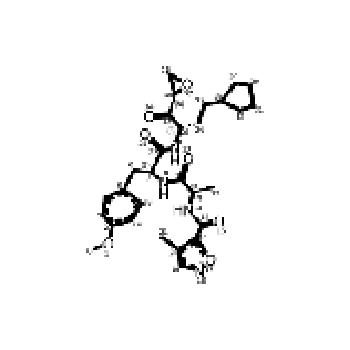 COc1ccc(C[C@H](NC(=O)[C@@H](C)NC(=O)c2oncc2C)C(=O)N[C@@H](CCC2CCCC2)C(=O)[C@H]2CO2)cc1